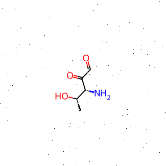 C[C@@H](O)[C@H](N)C(=O)C=O